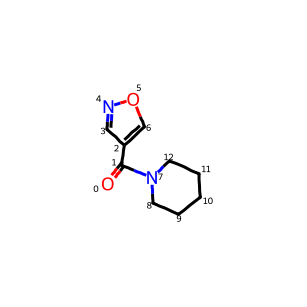 O=C(c1cnoc1)N1CCCCC1